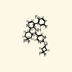 O=C(Nc1c(-c2cc(F)ccc2F)ccnc1C1CCC(F)(F)CC1)c1cnc(OC2CC(F)(F)C2)nc1